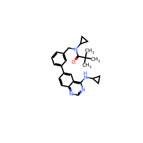 CC(C)(C)C(=O)N(Cc1cccc(-c2ccc3ncnc(NC4CC4)c3c2)c1)C1CC1